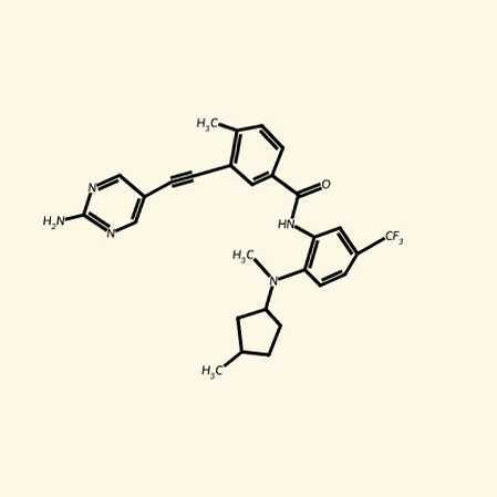 Cc1ccc(C(=O)Nc2cc(C(F)(F)F)ccc2N(C)C2CCC(C)C2)cc1C#Cc1cnc(N)nc1